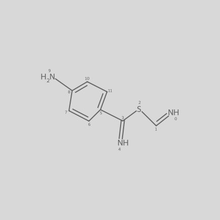 N=CSC(=N)c1ccc(N)cc1